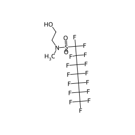 CN(CCO)S(=O)(=O)C(F)(F)C(F)(F)C(F)(F)C(F)(F)C(F)(F)C(F)(F)C(F)(F)F